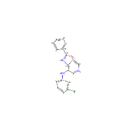 Brc1cccc(Nc2cncc3oc(-c4ccccc4)nc23)c1